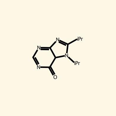 CC(C)C1=NC2=NC=NC(=O)C2N1C(C)C